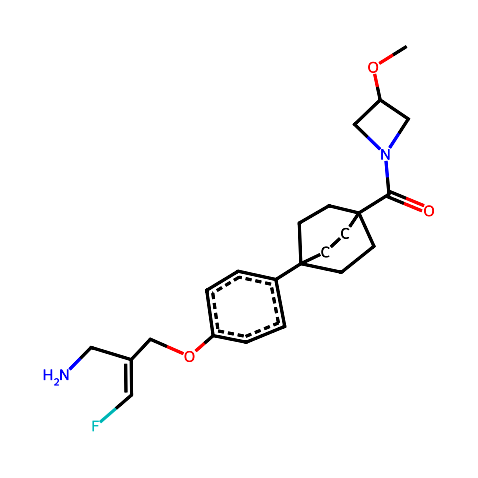 COC1CN(C(=O)C23CCC(c4ccc(OCC(=CF)CN)cc4)(CC2)CC3)C1